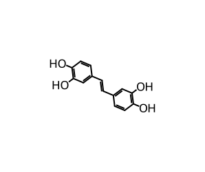 Oc1ccc(C=Cc2ccc(O)c(O)c2)cc1O